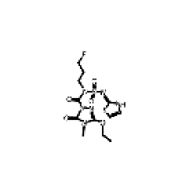 CCOc1nn(C(=O)N(CCCF)S(=O)(=O)N=c2[nH]ccs2)c(=O)n1C